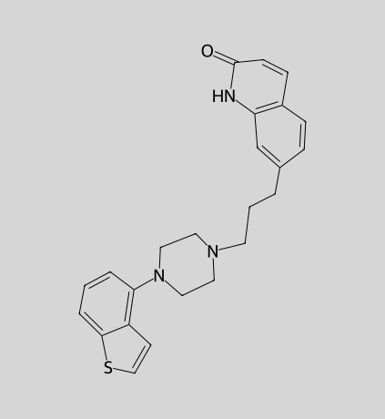 O=c1ccc2ccc(CCCN3CCN(c4cccc5sccc45)CC3)cc2[nH]1